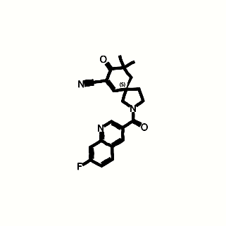 CC1(C)C[C@@]2(C=C(C#N)C1=O)CCN(C(=O)c1cnc3cc(F)ccc3c1)C2